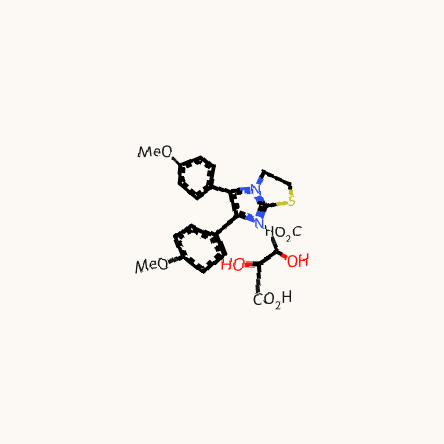 COc1ccc(-c2nc3n(c2-c2ccc(OC)cc2)CCS3)cc1.O=C(O)C(O)C(O)C(=O)O